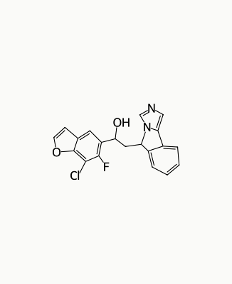 OC(CC1c2ccccc2-c2cncn21)c1cc2ccoc2c(Cl)c1F